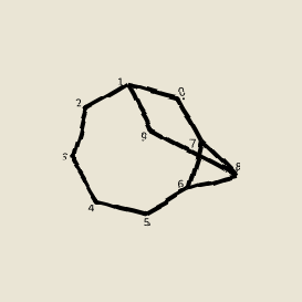 [CH]1C2CCCCC3C1C3C2